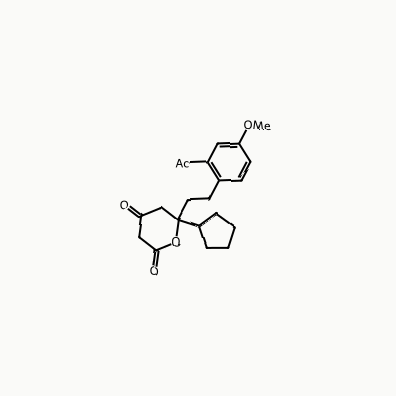 COc1ccc(CCC2(C3CCCC3)CC(=O)CC(=O)O2)c(C(C)=O)c1